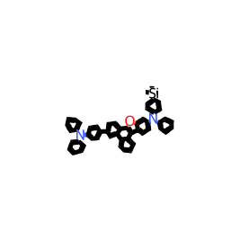 C[Si](C)(C)c1ccc(N(c2ccccc2)c2ccc3c(c2)oc2c4ccc(-c5ccc(N(c6ccccc6)c6ccccc6)cc5)cc4c4ccccc4c32)cc1